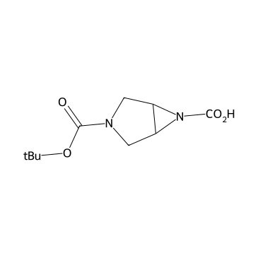 CC(C)(C)OC(=O)N1CC2C(C1)N2C(=O)O